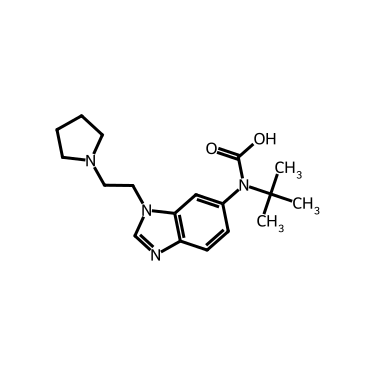 CC(C)(C)N(C(=O)O)c1ccc2ncn(CCN3CCCC3)c2c1